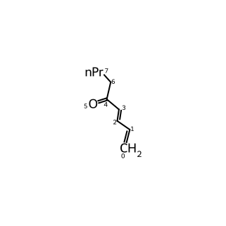 C=CC=CC(=O)CCCC